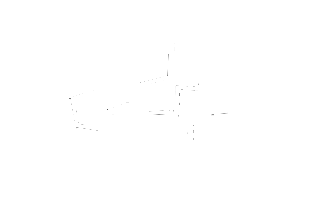 CCOC(=O)c1nc2c(C(F)(F)F)cc(-c3ccco3)cn2c1Cl